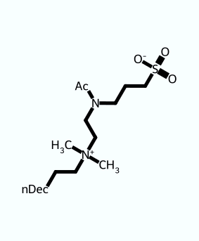 CCCCCCCCCCCC[N+](C)(C)CCN(CCCS(=O)(=O)[O-])C(C)=O